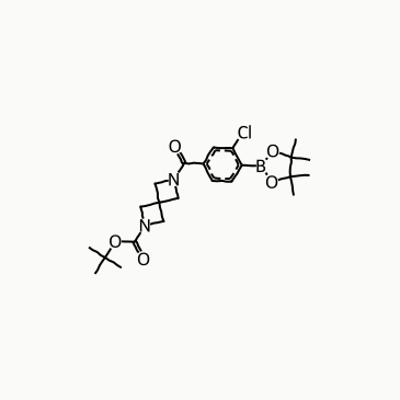 CC(C)(C)OC(=O)N1CC2(C1)CN(C(=O)c1ccc(B3OC(C)(C)C(C)(C)O3)c(Cl)c1)C2